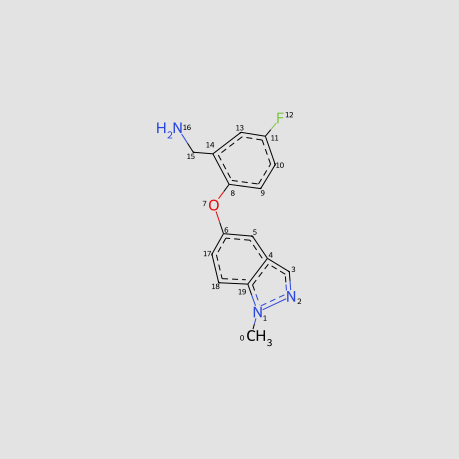 Cn1ncc2cc(Oc3ccc(F)cc3CN)ccc21